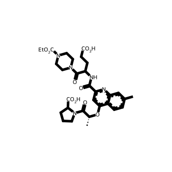 CCOC(=O)N1CCN(C(=O)C(CCC(=O)O)NC(=O)c2cc(O[C@H](C)C(=O)N3CCCC3C(=O)O)c3ccc(C)cc3n2)CC1